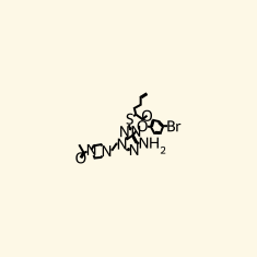 C=CCCC(Sc1nc2c(N)ncn(CCN3CCN(C(C)=O)CC3)c-2n1)C1Oc2ccc(Br)cc2O1